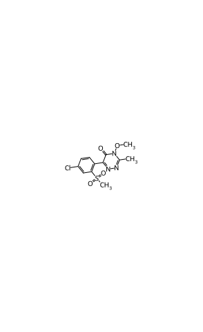 COn1c(C)nnc(-c2ccc(Cl)cc2S(C)(=O)=O)c1=O